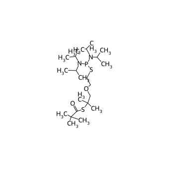 CC(C)N(C(C)C)P(SCCOCC(C)(C)SC(=O)C(C)(C)C)N(C(C)C)C(C)C